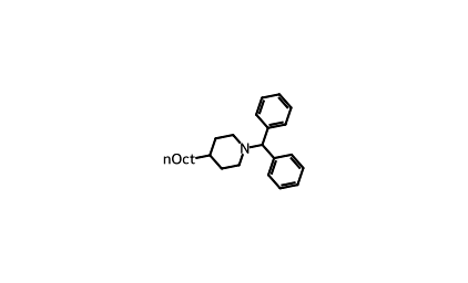 CCCCCCCCC1CCN(C(c2ccccc2)c2ccccc2)CC1